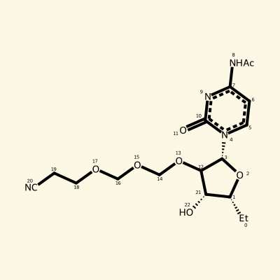 CC[C@H]1O[C@@H](n2ccc(NC(C)=O)nc2=O)C(OCOCOCCC#N)[C@H]1O